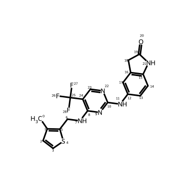 Cc1ccsc1CNc1nc(Nc2ccc3c(c2)CC(=O)N3)ncc1C(F)(F)F